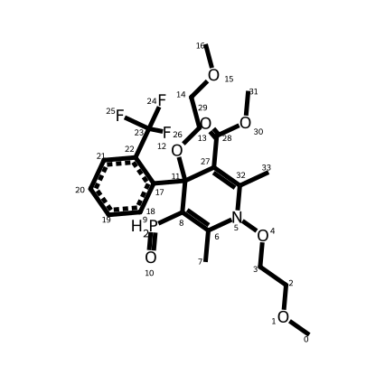 COCCON1C(C)=C([PH2]=O)C(OCCOC)(c2ccccc2C(F)(F)F)C(C(=O)OC)=C1C